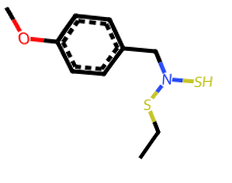 CCSN(S)Cc1ccc(OC)cc1